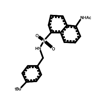 CC(=O)Nc1cccc2c(S(=O)(=O)NCc3ccc(C(C)(C)C)cc3)cccc12